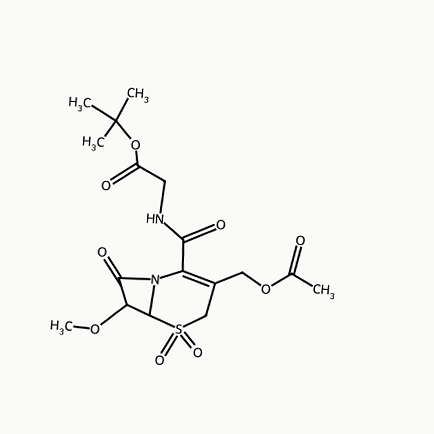 COC1C(=O)N2C(C(=O)NCC(=O)OC(C)(C)C)=C(COC(C)=O)CS(=O)(=O)C12